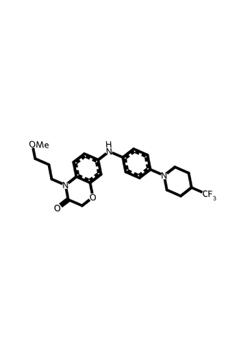 COCCCN1C(=O)COc2cc(Nc3ccc(N4CCC(C(F)(F)F)CC4)cc3)ccc21